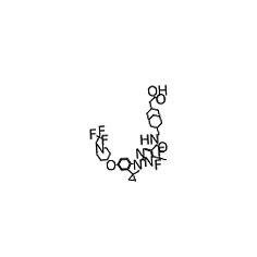 CC(F)(F)c1nc(N2CC3(CC3)c3cc(OC4CCN(CC(F)(F)F)CC4)ccc32)ncc1C(=O)NCC1CC2CC(CC(=O)O)CC(C1)C2